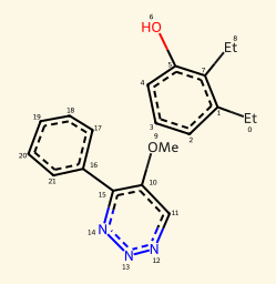 CCc1cccc(O)c1CC.COc1cnnnc1-c1ccccc1